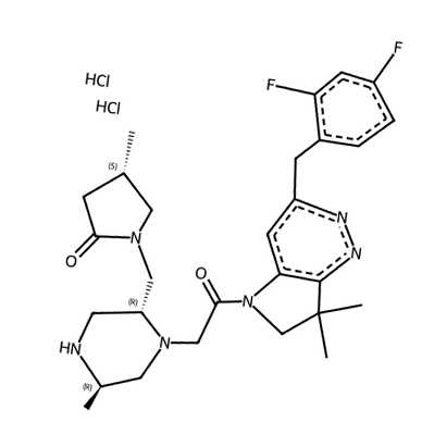 C[C@H]1CC(=O)N(C[C@H]2CN[C@H](C)CN2CC(=O)N2CC(C)(C)c3nnc(Cc4ccc(F)cc4F)cc32)C1.Cl.Cl